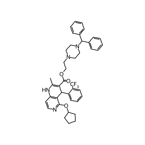 CC1=C(C(=O)OCCN2CCN(C(c3ccccc3)c3ccccc3)CC2)C(c2ccccc2C(F)(F)F)c2c(ccnc2OC2CCCC2)N1